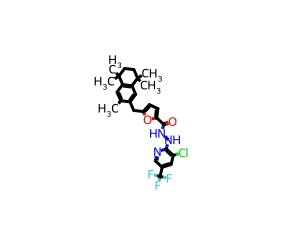 Cc1cc2c(cc1Cc1ccc(C(=O)NNc3ncc(C(F)(F)F)cc3Cl)o1)C(C)(C)CCC2(C)C